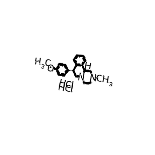 COc1ccc([C@H]2CN3CCN(C)C[C@@H]3c3ccccc32)cc1.Cl.Cl